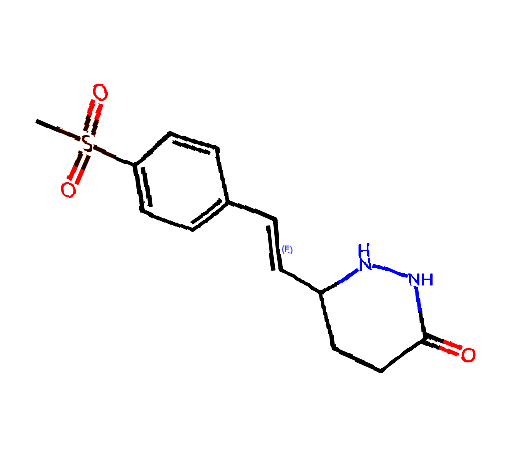 CS(=O)(=O)c1ccc(/C=C/C2CCC(=O)NN2)cc1